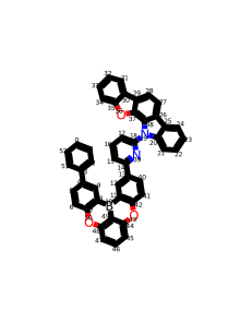 c1ccc(-c2ccc3c(c2)B2c4cc(-c5cccc(-n6c7ccccc7c7ccc8c9ccccc9oc8c76)n5)ccc4Oc4cccc(c42)O3)cc1